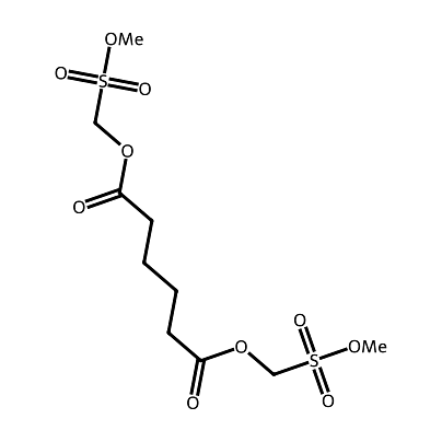 COS(=O)(=O)COC(=O)CCCCC(=O)OCS(=O)(=O)OC